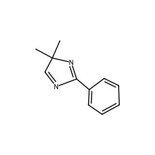 CC1(C)C=NC(c2ccccc2)=N1